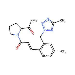 CNC(=O)C1CCCN1C(=O)C=Cc1ccc(C(F)(F)F)cc1Cn1nnc(C)n1